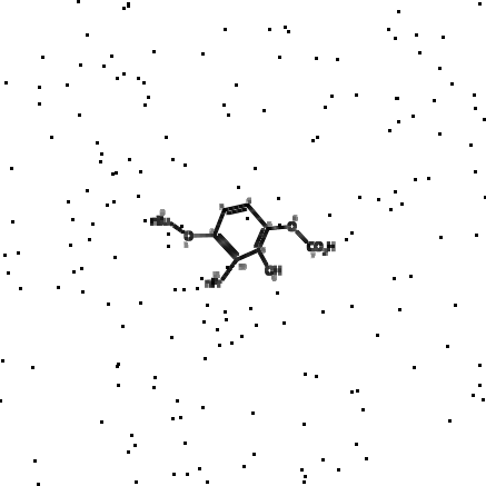 CCCCOc1ccc(OC(=O)O)c(O)c1CCC